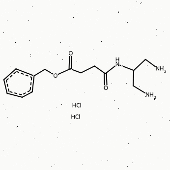 Cl.Cl.NCC(CN)NC(=O)CCC(=O)OCc1ccccc1